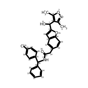 Cc1noc(C)c1C(O)c1cc2cc(CC(=O)NC(c3ccccc3)c3ccc(Cl)cc3)ccc2o1